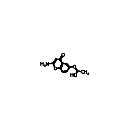 CC(O)Oc1ccc2oc(N)cc(=O)c2c1